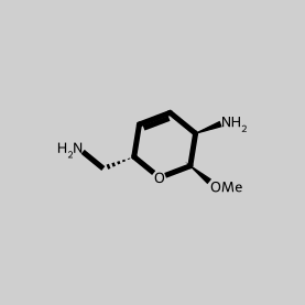 CO[C@H]1O[C@H](CN)C=C[C@H]1N